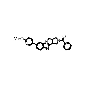 COc1ccc(-c2ccc3nc4n(c3c2)CC2CN(C(=O)c3ccccc3)CC42)cn1